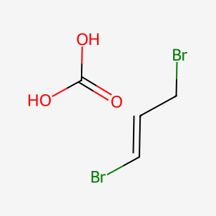 BrC=CCBr.O=C(O)O